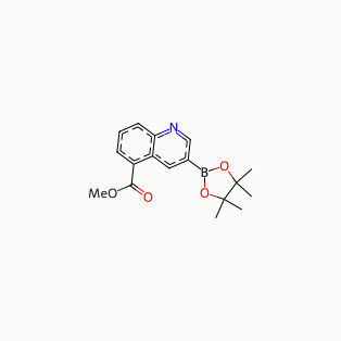 COC(=O)c1cccc2ncc(B3OC(C)(C)C(C)(C)O3)cc12